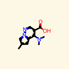 Cc1cc2c(N(C)C)c(C(=O)O)cnn2c1